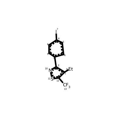 CCc1c(-c2ccc(I)cc2)nsc1C(F)(F)F